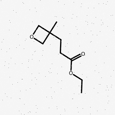 CCOC(=O)CCC1(C)COC1